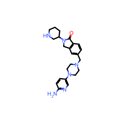 Nc1ccc(N2CCN(Cc3ccc4c(c3)CN(C3CCCNC3)C4=O)CC2)cn1